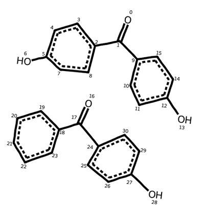 O=C(c1ccc(O)cc1)c1ccc(O)cc1.O=C(c1ccccc1)c1ccc(O)cc1